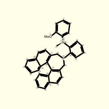 COc1ccccc1[Si@H](C)c1ccccc1P1Cc2ccc3ccccc3c2-c2c(ccc3ccccc23)C1